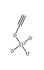 C#CO[Cl+3]([O-])([O-])[O-]